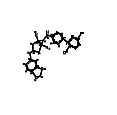 Fc1ccc(Cl)c(-c2ccc(N[C@H]3[C@@H]4CN(Cc5ccc6c(c5)OCO6)C[C@@H]43)nn2)c1